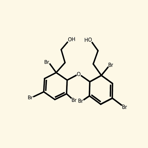 OCCC1(Br)C=C(Br)C=C(Br)C1OC1C(Br)=CC(Br)=CC1(Br)CCO